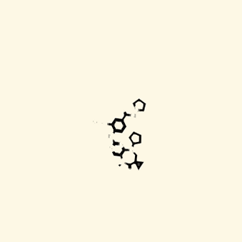 COc1cc(C(=O)NN2CCCC2)ccc1Nc1ncc2c(n1)N(C1CCCC1)CC1(CC1)C(=O)N2C